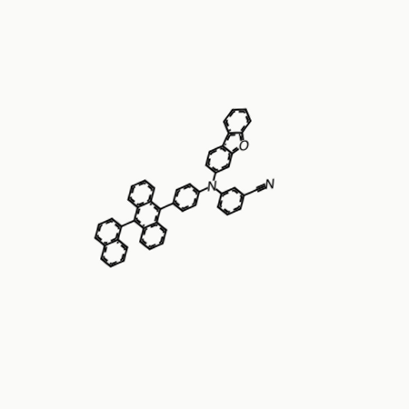 N#Cc1cccc(N(c2ccc(-c3c4ccccc4c(-c4cccc5ccccc45)c4ccccc34)cc2)c2ccc3c(c2)oc2ccccc23)c1